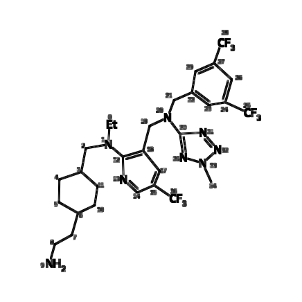 CCN(CC1CCC(CCN)CC1)c1ncc(C(F)(F)F)cc1CN(Cc1cc(C(F)(F)F)cc(C(F)(F)F)c1)c1nnn(C)n1